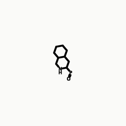 O=PC1CC2CCCCC2CN1